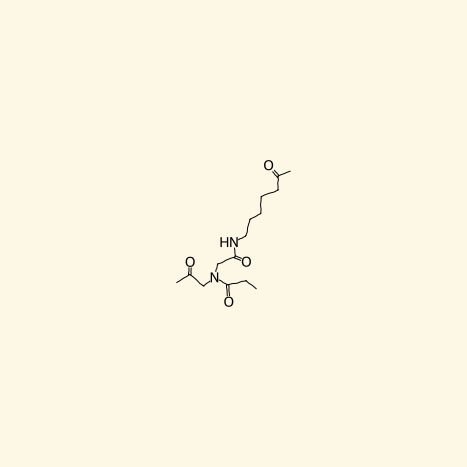 CCC(=O)N(CC(C)=O)CC(=O)NCCCCCC(C)=O